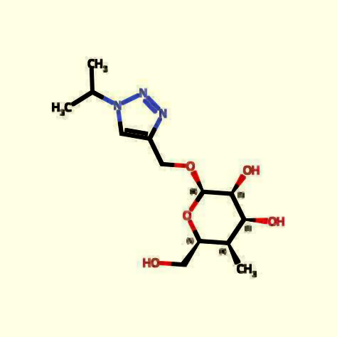 CC(C)n1cc(CO[C@@H]2O[C@H](CO)[C@H](C)[C@H](O)[C@@H]2O)nn1